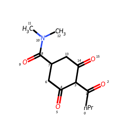 CCCC(=O)C1C(=O)CC(C(=O)N(C)C)CC1=O